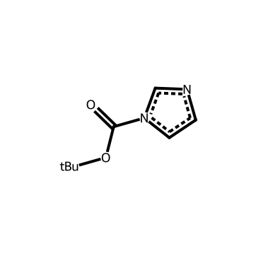 CC(C)(C)OC(=O)n1ccnc1